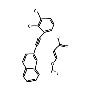 COC=CC(=O)O.Clc1cccc(C#Cc2ccc3ccccc3c2)c1Cl